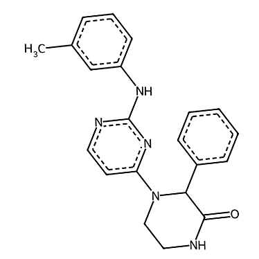 Cc1cccc(Nc2nccc(N3CCNC(=O)C3c3ccccc3)n2)c1